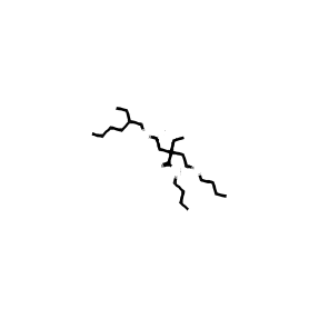 CCCCOC(=O)CC(CC(=O)OCC(CC)CCCC)(C(C)=O)C(=O)OCCCC